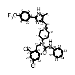 Cc1[nH]c(-c2ccc(C(F)(F)F)cc2)nc1CN1CCC(N(Cc2ccc(Cl)cc2Cl)C(=O)Nc2ccccc2)CC1